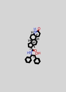 C[C@]12CCC(=O)N[C@@H]1CC[C@@H]1[C@@H]2CC[C@]2(C)[C@@H](C(=O)N[C@H](c3ccccc3)[C@@H](O)c3ccccc3)CC[C@@H]12